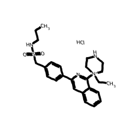 CCCNS(=O)(=O)Cc1ccc(-c2cc3ccccc3c([N+]3(CC)CCNCC3)n2)cc1.Cl